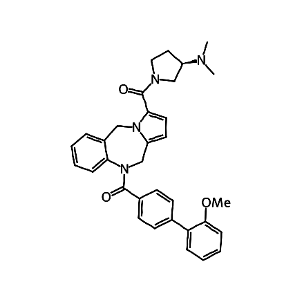 COc1ccccc1-c1ccc(C(=O)N2Cc3ccc(C(=O)N4CC[C@@H](N(C)C)C4)n3Cc3ccccc32)cc1